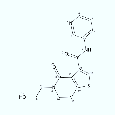 O=C(Nc1cccnc1)c1csc2ncn(CCO)c(=O)c12